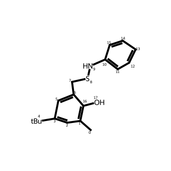 Cc1cc(C(C)(C)C)cc(CSNc2ccccc2)c1O